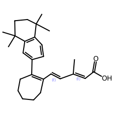 CC(/C=C/C1=C(c2ccc3c(c2)C(C)(C)CCC3(C)C)CCCCC1)=C\C(=O)O